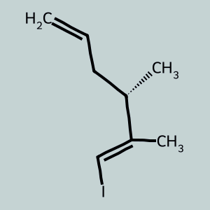 C=CC[C@H](C)/C(C)=C/I